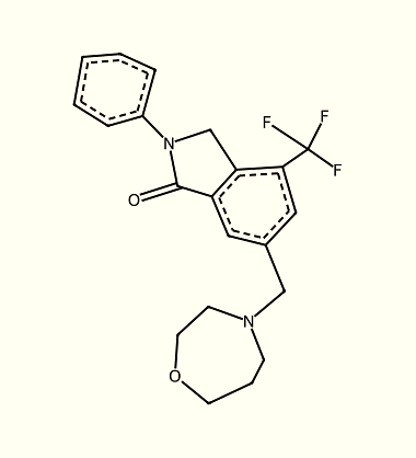 O=C1c2cc(CN3CCCOCC3)cc(C(F)(F)F)c2CN1c1ccccc1